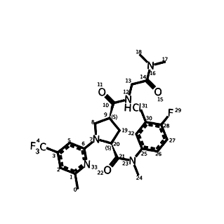 Cc1cc(C(F)(F)F)cc(N2C[C@@H](C(=O)NCC(=O)N(C)C)C[C@H]2C(=O)N(C)c2ccc(F)c(Cl)c2)n1